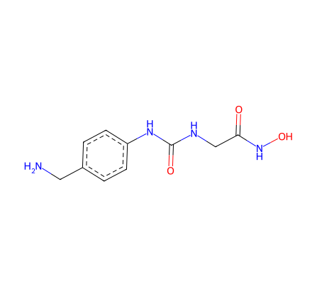 NCc1ccc(NC(=O)NCC(=O)NO)cc1